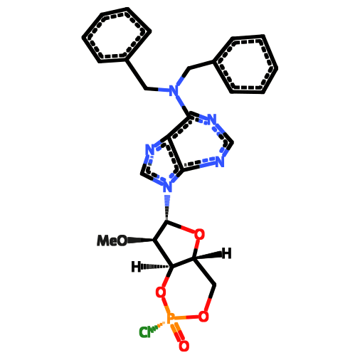 CO[C@@H]1[C@@H]2O[P@@](=O)(Cl)OC[C@H]2O[C@H]1n1cnc2c(N(Cc3ccccc3)Cc3ccccc3)ncnc21